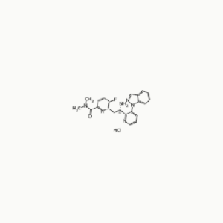 CN(C)C(=O)c1ccc(F)c(C[C@H](N)c2ncccc2-n2ncc3ccccc32)n1.Cl